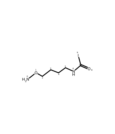 NOCCCCNC(=O)I